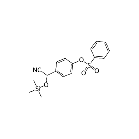 C[Si](C)(C)OC(C#N)c1ccc(OS(=O)(=O)c2ccccc2)cc1